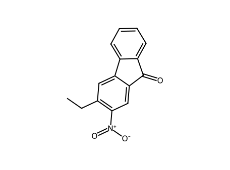 CCc1cc2c(cc1[N+](=O)[O-])C(=O)c1ccccc1-2